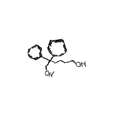 OCCCCC(CO)(c1ccccc1)c1ccccc1